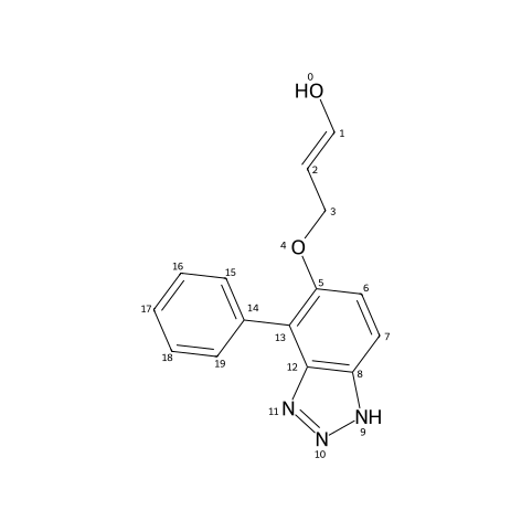 OC=CCOc1ccc2[nH]nnc2c1-c1ccccc1